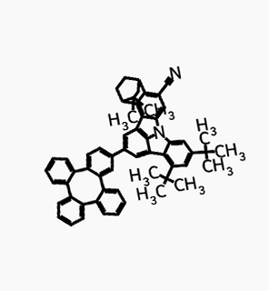 CC(C)(C)c1cc(C(C)(C)C)c2c3cc(-c4ccc5c(c4)-c4ccccc4-c4ccccc4-c4ccccc4-5)cc4c5c6c(c(C#N)cc5n(c2c1)c34)C1CCC6C(C)(C)C1